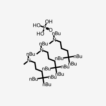 CCCCN(C)CCCC(CCCC)(CCCC)CCCC.CCCCN(C)CCCC(CCCC)(CCCC)CCCC.CCCCN(C)CCCC(CCCC)(CCCC)CCCC.O=P(O)(O)O